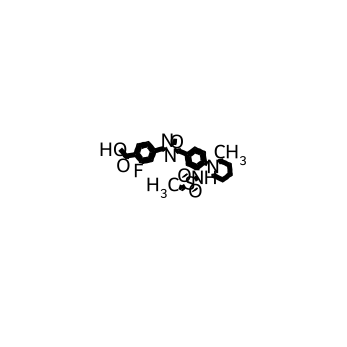 CCS(=O)(=O)Nc1cc(-c2nc(-c3ccc(C(=O)O)c(F)c3)no2)ccc1N1CCCCC1C